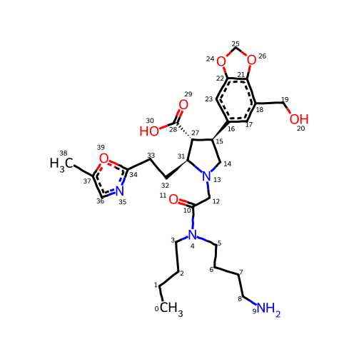 CCCCN(CCCCN)C(=O)CN1C[C@H](c2cc(CO)c3c(c2)OCO3)[C@@H](C(=O)O)[C@@H]1CCc1ncc(C)o1